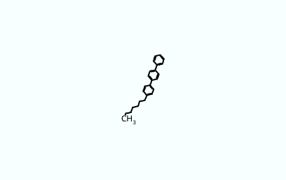 CCCCCCCc1ccc(-c2ccc(-c3ccccc3)cc2)cc1